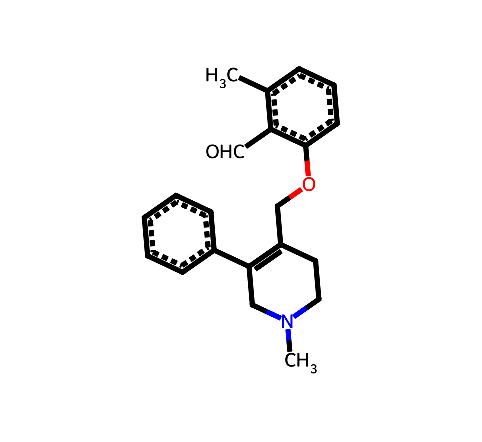 Cc1cccc(OCC2=C(c3ccccc3)CN(C)CC2)c1C=O